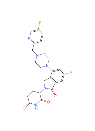 O=C1CCC(N2Cc3c(cc(F)cc3N3CCN(Cc4ccc(F)cn4)CC3)C2=O)C(=O)N1